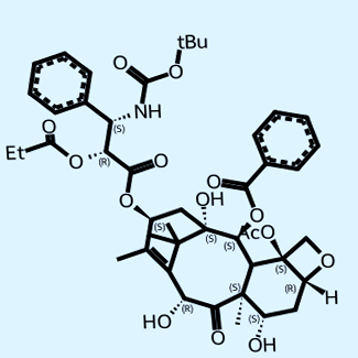 CCC(=O)O[C@@H](C(=O)O[C@H]1C[C@@]2(O)[C@@H](OC(=O)c3ccccc3)C3[C@](C)(C(=O)[C@H](O)C(=C1C)C2(C)C)[C@@H](O)C[C@H]1OC[C@@]31OC(C)=O)[C@@H](NC(=O)OC(C)(C)C)c1ccccc1